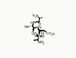 CCC[C@H](NC(=O)[C@H](C)N)C(=O)NC(CC(=O)O)P(=O)(O)C(C)N